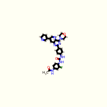 CC(=O)Nc1ccc(NC(=O)Nc2ccc(-c3nc(N4CCOCC4)c4ncc(-c5cccnc5)cc4n3)cc2)c(F)c1